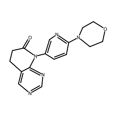 O=C1CCc2cncnc2N1c1ccc(N2CCOCC2)nc1